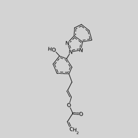 C=CC(=O)OC=CCc1ccc(O)c(-n2nc3ccccc3n2)c1